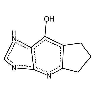 Oc1c2c(nc3nc[nH]c13)CCC2